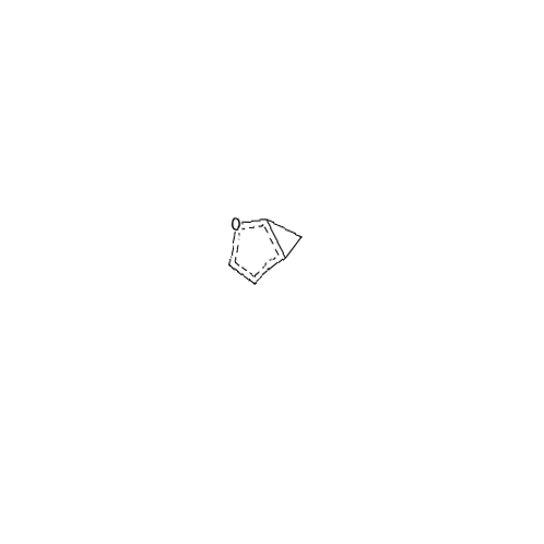 c1cc2c(o1)C2